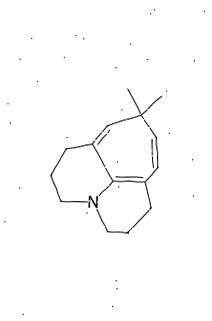 CC1(C)C=CC2=C3C(=C1)CCCN3CCC2